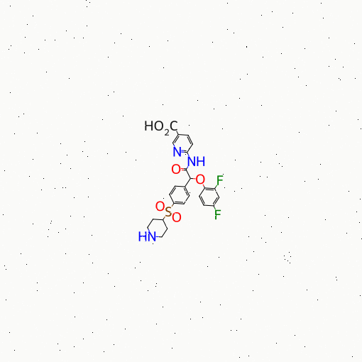 O=C(O)c1ccc(NC(=O)C(Oc2ccc(F)cc2F)c2ccc(S(=O)(=O)C3CCNCC3)cc2)nc1